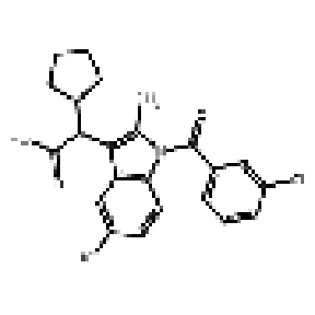 Cc1c(C(C(=O)O)C2CCCC2)c2cc(O)ccc2n1C(=O)c1cccc(Cl)c1